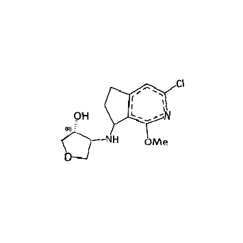 COc1nc(Cl)cc2c1C(NC1COC[C@@H]1O)CC2